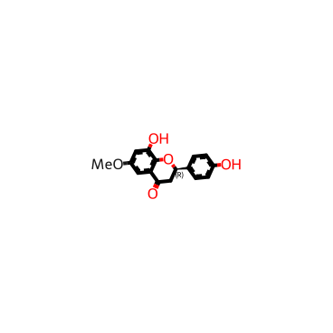 COc1cc(O)c2c(c1)C(=O)C[C@H](c1ccc(O)cc1)O2